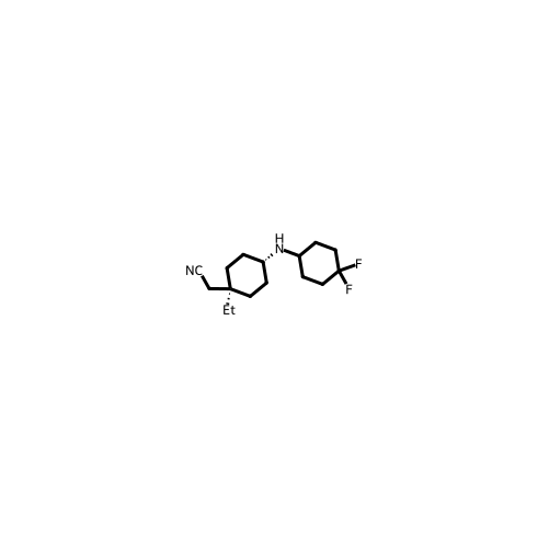 CC[C@]1(CC#N)CC[C@H](NC2CCC(F)(F)CC2)CC1